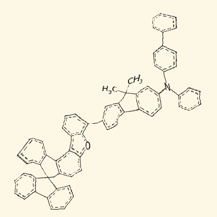 CC1(C)c2cc(-c3cccc4c3oc3ccc5c(c34)-c3ccccc3C53c4ccccc4-c4ccccc43)ccc2-c2ccc(N(c3ccccc3)c3ccc(-c4ccccc4)cc3)cc21